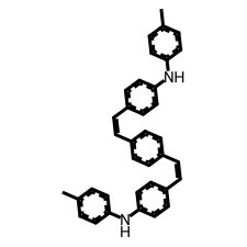 Cc1ccc(Nc2ccc(/C=C\c3ccc(/C=C\c4ccc(Nc5ccc(C)cc5)cc4)cc3)cc2)cc1